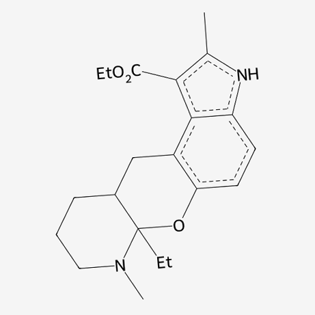 CCOC(=O)c1c(C)[nH]c2ccc3c(c12)CC1CCCN(C)C1(CC)O3